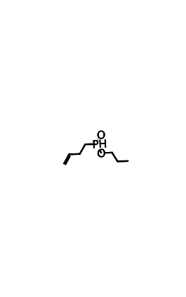 C=CCC[PH](=O)OCCC